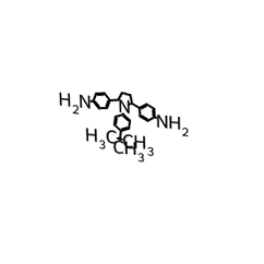 CC(C)(C)c1ccc(N2C(c3ccc(N)cc3)CCC2c2ccc(N)cc2)cc1